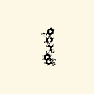 COc1ccccc1N1CCN(CC(C)C(=O)Oc2ccc3c(c2)NC(=O)CC3)CC1